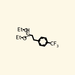 CCO[SiH](CCc1ccc(C(F)(F)F)cc1)OCC